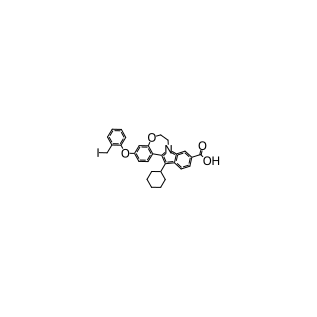 O=C(O)c1ccc2c(C3CCCCC3)c3n(c2c1)CCOc1cc(Oc2ccccc2CI)ccc1-3